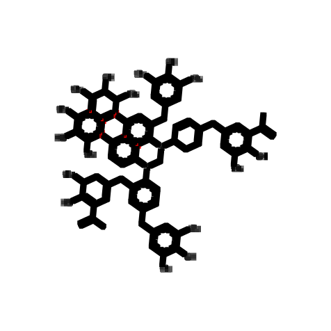 C=C(C)C1=C(O)C(C(C)(C)C)CC(Cc2cc(Cc3cc(C(C)(C)C)c(O)c(C(C)(C)C)c3)ccc2N(CN(c2ccc(Cc3cc(C(C)(C)C)c(O)c(C(C)(C)C)c3)cc2Cc2cc(C(C)(C)C)c(O)c(C(C)(C)C)c2)C2C=CC(Cc3cc(C(=C)C)c(O)c(C(C)(C)C)c3)=CC2)c2ccc(CC3=CC(C(C)(C)C)C(O)C(C(C)(C)C)=C3)cc2)=C1